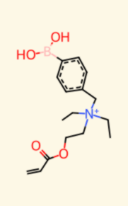 C=CC(=O)OCC[N+](CC)(CC)Cc1ccc(B(O)O)cc1